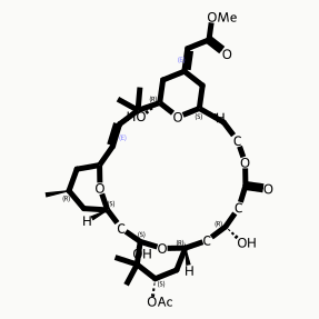 COC(=O)/C=C1\C[C@H]2CCOC(=O)C[C@H](O)C[C@@H]3C[C@H](OC(C)=O)C(C)(C)[C@](O)(C[C@@H]4C[C@@H](C)CC(/C=C/C(C)(C)[C@@](O)(C1)O2)O4)O3